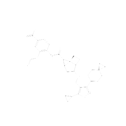 CCOc1cc(C(=O)O)ccc1NC(=O)C1C2CC(OCc3c(C4CCC5(CC4)CC5)noc3C3CC3)C3CC[C@@]321